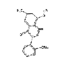 CCCOC1=c2[nH]cc(-c3ccccc3OC)c(=O)c2=CC(C)C1